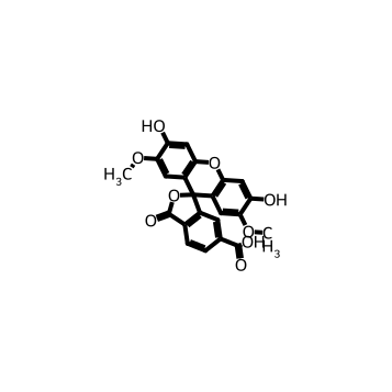 COc1cc2c(cc1O)Oc1cc(O)c(OC)cc1C21OC(=O)c2ccc(C(=O)O)cc21